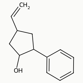 C=CC1CC(O)C(c2ccccc2)C1